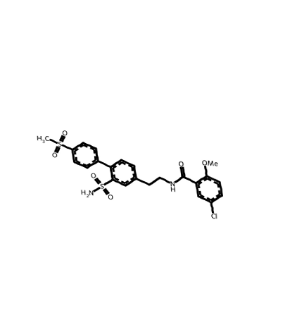 COc1ccc(Cl)cc1C(=O)NCCc1ccc(-c2ccc(S(C)(=O)=O)cc2)c(S(N)(=O)=O)c1